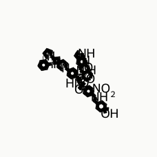 CC(C)c1ccccc1[C@@H]1CCCN1C1CC2(CCN(c3ccc(C(=O)NS(=O)(=O)c4ccc(NCC5CCC(C)(O)CC5)c([N+](=O)[O-])c4)c(N4c5cc6cc[nH]c6nc5O[C@H]5COCC[C@H]54)c3)CC2)C1